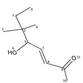 CCC(C)(C)C(O)/C=C/C(C)=O